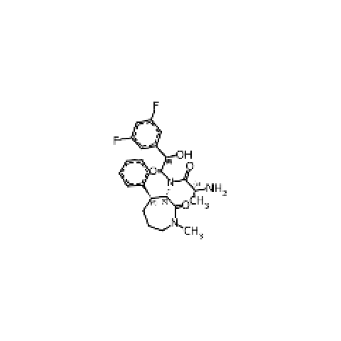 C[C@H](N)C(=O)N(C(=O)[C@H](O)c1cc(F)cc(F)c1)[C@@H]1C(=O)N(C)CCC[C@H]1c1ccccc1